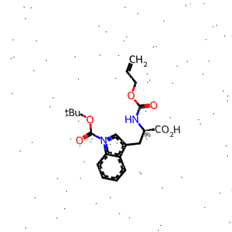 C=CCOC(=O)N[C@H](Cc1cn(C(=O)OC(C)(C)C)c2ccccc12)C(=O)O